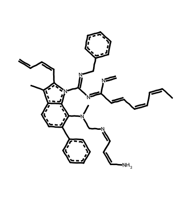 C=C/C=C\c1c(C)c2ccc(-c3ccccc3)c(N(C)C/N=C\C=C/N)c2n1C(/N=C(/C=C/C=C\C=C/C)N=C)=N/Cc1ccccc1